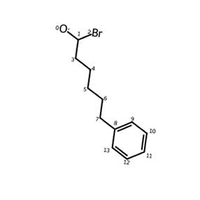 [O]C(Br)CCCCCc1ccccc1